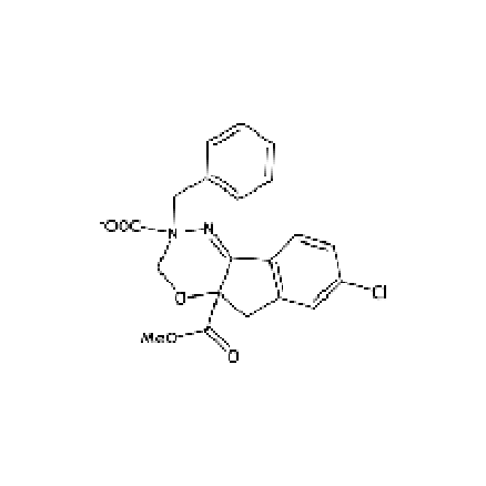 COC(=O)C12Cc3cc(Cl)ccc3C1=N[N+](Cc1ccccc1)(C(=O)[O-])CO2